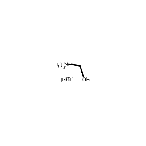 Br.NCO